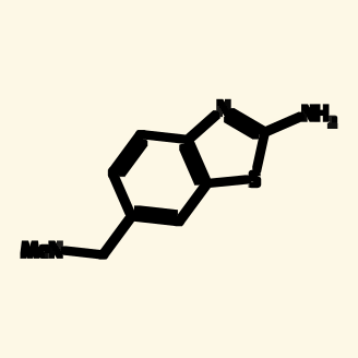 CNCc1ccc2nc(N)sc2c1